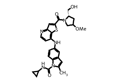 COC1C[C@@H](CO)N(C(=O)c2cc3nccc(Nc4ccc5c(c4)cc(C)n5C(=O)NC4CC4)c3s2)C1